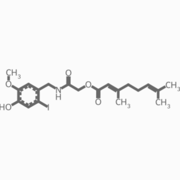 COc1cc(CNC(=O)COC(=O)/C=C(\C)CCC=C(C)C)c(I)cc1O